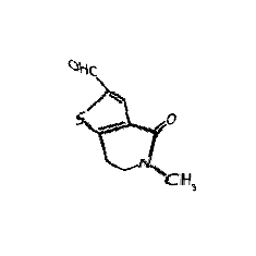 CN1CCc2sc(C=O)cc2C1=O